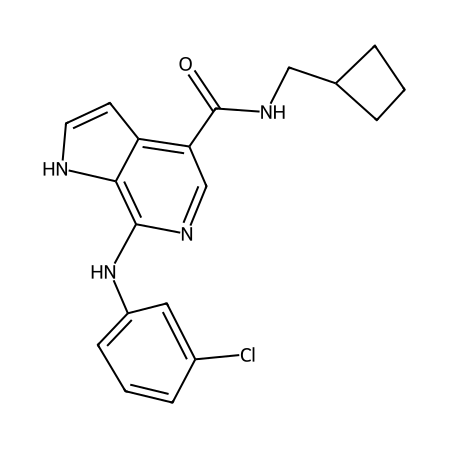 O=C(NCC1CCC1)c1cnc(Nc2cccc(Cl)c2)c2[nH]ccc12